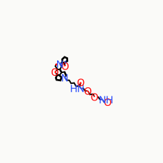 O=CNCCOCCOCCNC(=O)CCCCCN1C=CC2=C3c4oc5ccccc5[n+]4CCC3Oc3cccc1c32